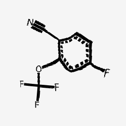 N#Cc1ccc(F)cc1OC(F)(F)F